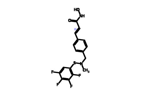 CN(Cc1ccc(/C=C/C(=O)NO)cc1)Sc1cc(F)c(F)c(F)c1F